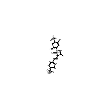 CC1=NN(c2cc(Cl)c(S(=O)(=O)O)cc2Cl)C(=O)C1N=Nc1ccc(S(=O)(=O)O)cc1